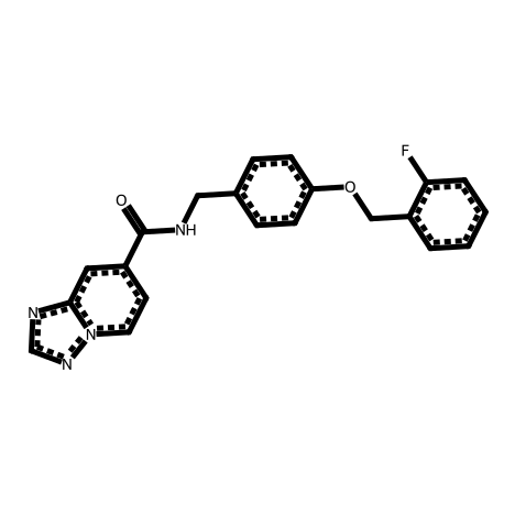 O=C(NCc1ccc(OCc2ccccc2F)cc1)c1ccn2ncnc2c1